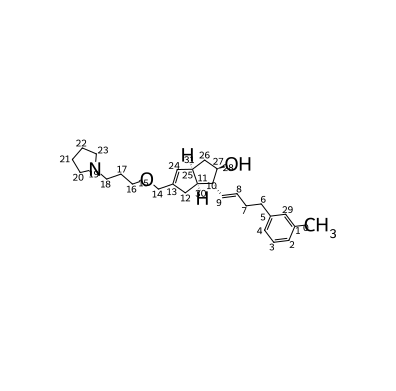 Cc1cccc(CC/C=C/[C@@H]2[C@H]3CC(COCCCN4CCCC4)=C[C@H]3C[C@H]2O)c1